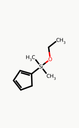 CCO[Si](C)(C)C1=CC=CC1